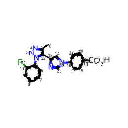 Cc1nnn(-c2ccccc2F)c1-c1cn(-c2ccc(C(=O)O)cc2)cn1